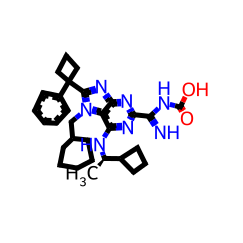 C[C@@H](Nc1nc(C(=N)NC(=O)O)nc2nc(C3(c4ccccc4)CCC3)n(CC3CCCCC3)c12)C1CCC1